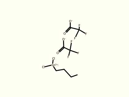 CCC[CH2][Sn+2]([Cl])[Cl].O=C([O-])C(F)(F)F.O=C([O-])C(F)(F)F